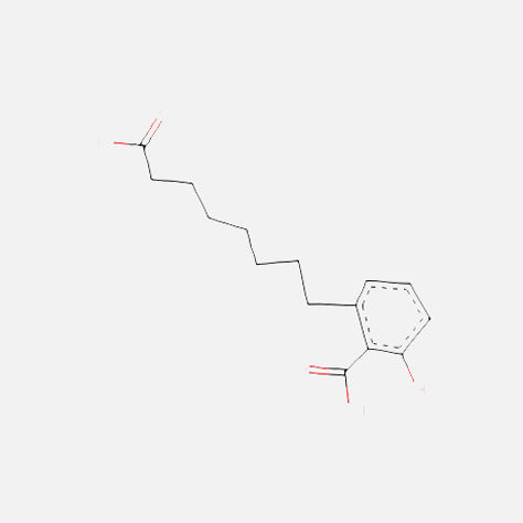 O=C(O)CCCCCCCc1cccc(O)c1C(=O)O